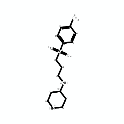 Cc1ccc(S(=O)(=O)CCCNC2CCNCC2)cc1